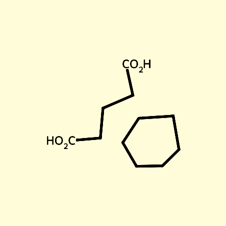 C1CCCCC1.O=C(O)CCCC(=O)O